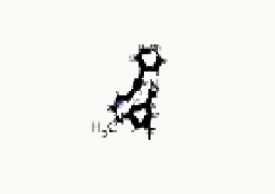 CN(/C=C\CC#Cc1ccncc1)c1cc(F)cc(C#N)c1